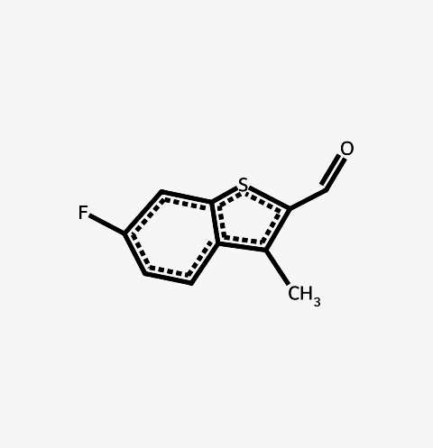 Cc1c(C=O)sc2cc(F)ccc12